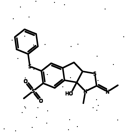 C/N=C1\SC2Cc3cc(Sc4ccccc4)c(S(C)(=O)=O)cc3C2(O)N1C